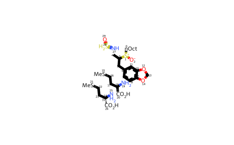 CCCCCCCC[S+]([O-])C(C)Cc1ccc2c(c1)OCO2.CSCCC(N)C(=O)O.CSCC[C@H](N)C(=O)O.N=[SH2]=O